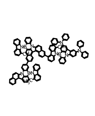 Cc1cccc2c3ccccc3n(B3c4cc(-c5ccc6c(c5)cc5c7c6c6c8ccc(-c9cccc%10c9c9cccc(C)c9n%10B9c%10ccccc%10-n%10c%11ccc(N(c%12ccccc%12)c%12ccccc%12)cc%11c%11cc(N(c%12ccccc%12)c%12ccccc%12)cc9c%11%10)cc8ccc6n7-c6ccccc6B5n5c6ccccc6c6cccc(C)c65)ccc4-n4c5ccc6ccccc6c5c5cccc3c54)c12